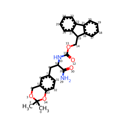 CC1(C)OCc2cc(CC(NC(=O)OCC3c4ccccc4-c4ccccc43)C(N)=O)ccc2O1